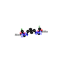 COC(=O)N[C@@H](C(=O)N1CCC[C@H]1c1ncc(-c2cccc(-c3c4c(c(-c5cccc(-c6cnc([C@@H]7CCCN7C(=O)[C@H](NC(=O)OC)c7ccc(F)cc7)[nH]6)c5)c5c3C(C)(C)CC5)C(C)(C)CC4)c2)[nH]1)c1ccc(F)cc1